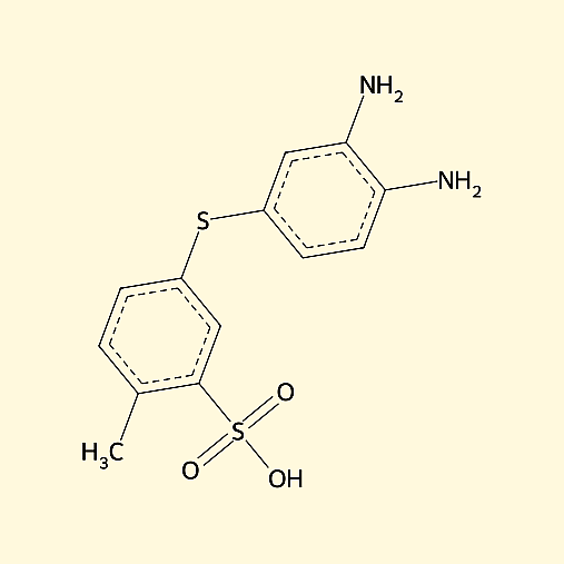 Cc1ccc(Sc2ccc(N)c(N)c2)cc1S(=O)(=O)O